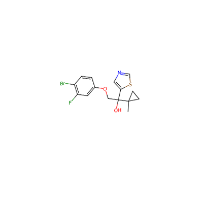 CC1(C(O)(COc2ccc(Br)c(F)c2)c2cncs2)CC1